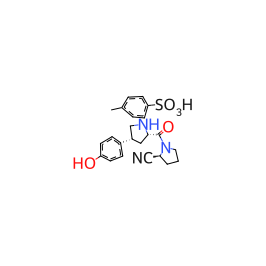 Cc1ccc(S(=O)(=O)O)cc1.N#C[C@@H]1CCCN1C(=O)[C@@H]1C[C@H](c2ccc(O)cc2)CN1